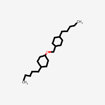 CCCCCC1CCC(COC2CCC(CCCCC)CC2)CC1